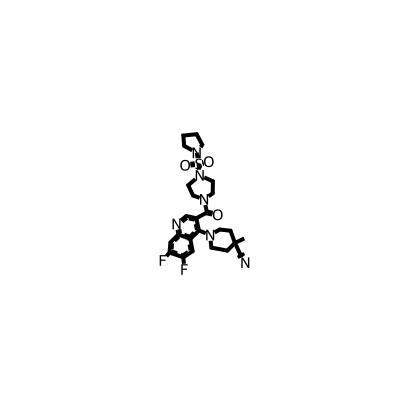 CC1(C#N)CCN(c2c(C(=O)N3CCN(S(=O)(=O)N4CCCC4)CC3)cnc3cc(F)c(F)cc23)CC1